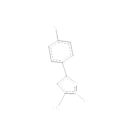 CCn1nc(-c2ccc([N+](=O)[O-])cc2)cc1N